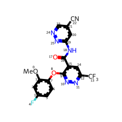 COc1cc(F)ccc1Oc1nnc(C(F)(F)F)cc1C(=O)Nc1cc(C#N)cnn1